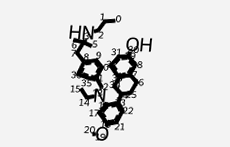 CCCNC(C)(C)Cc1ccc(CN(CC)c2cc(OC)ccc2C2CCc3cc(O)ccc3C2)cc1